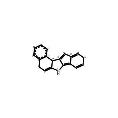 C1=CC2=C3NC4=CCc5ccccc5C4C3=CC2=CC1